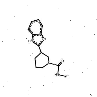 CCCNC(=O)N1CCCC(c2nc3ccccc3[nH]2)C1